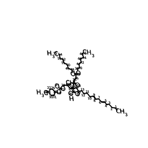 CCCCCC=CCC=CCCCCCCC(CC(C)COC(=O)OC1CCN(C)CC1)(OC(=O)CCC(OCCCCCCCC)OCCCCCCCC)C(=O)O